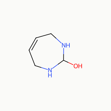 OC1NCC=CCN1